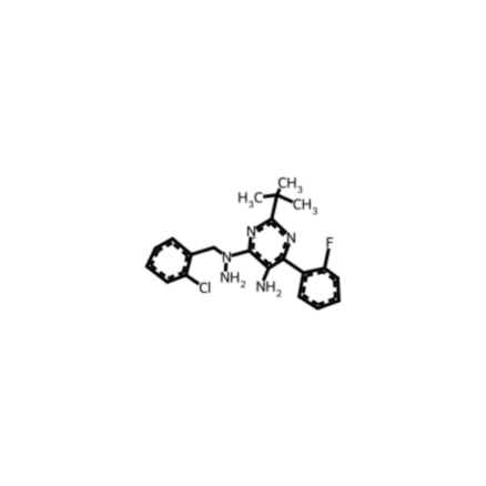 CC(C)(C)c1nc(-c2ccccc2F)c(N)c(N(N)Cc2ccccc2Cl)n1